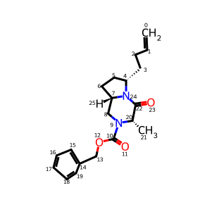 C=CCC[C@H]1CC[C@H]2CN(C(=O)OCc3ccccc3)[C@@H](C)C(=O)N12